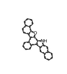 c1ccc2cc3c(cc2c1)[nH]c1c2oc4c5ccccc5ccc4c2c2ccccc2c31